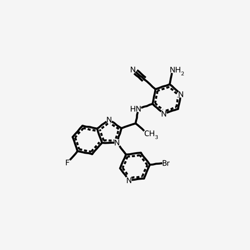 CC(Nc1ncnc(N)c1C#N)c1nc2ccc(F)cc2n1-c1cncc(Br)c1